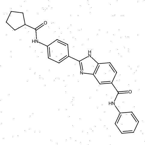 O=C(Nc1ccccc1)c1ccc2[nH]c(-c3ccc(NC(=O)C4CCCC4)cc3)nc2c1